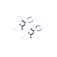 COC(=O)c1cnc(OC)c(N2CCNCC2)c1.COC(=O)c1cnc(OC)c(N2CCNCC2)c1